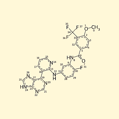 COc1ccc(C(=O)Nc2cc(Nc3ncccc3-c3ncnc4[nH]cnc34)ccc2F)cc1C(F)(F)F